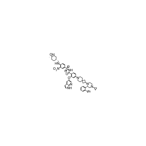 CC(C)c1ccccc1[C@@H]1CN(C2CC2)CCN1C1CC2(CCN(c3ccc(C(=O)NS(=O)(=O)c4ccc(NC[C@H]5CC[C@](C)(O)CC5)c([N+](=O)[O-])c4)c(Oc4cnc5[nH]ccc5c4)c3)CC2)C1